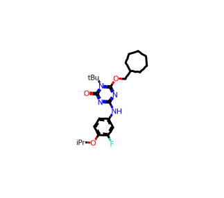 CC(C)Oc1ccc(Nc2nc(OCC3CCCCCC3)n(C(C)(C)C)c(=O)n2)cc1F